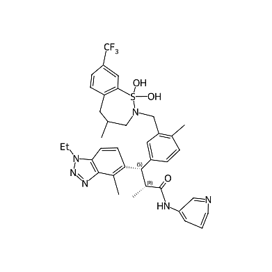 CCn1nnc2c(C)c([C@H](c3ccc(C)c(CN4CC(C)Cc5ccc(C(F)(F)F)cc5S4(O)O)c3)[C@@H](C)C(=O)Nc3cccnc3)ccc21